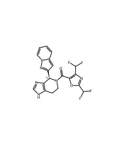 O=C(c1oc(C(F)F)nc1C(F)F)N1CCc2[nH]cnc2[C@H]1c1cc2ccccn2n1